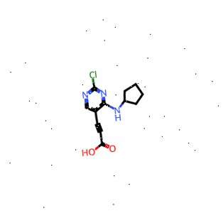 O=C(O)C#Cc1cnc(Cl)nc1NC1CCCC1